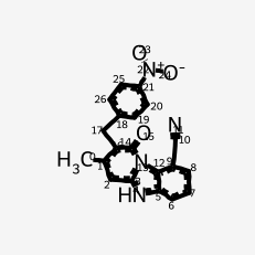 Cc1cc2[nH]c3cccc(C#N)c3n2c(=O)c1Cc1ccc([N+](=O)[O-])cc1